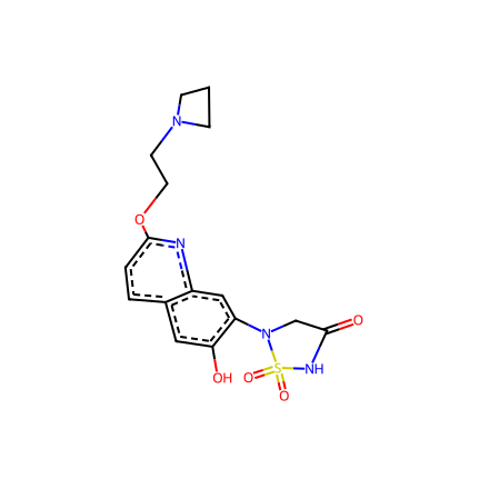 O=C1CN(c2cc3nc(OCCN4CCC4)ccc3cc2O)S(=O)(=O)N1